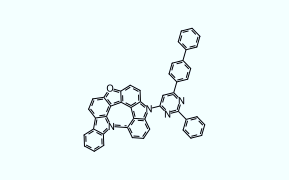 c1ccc(-c2ccc(-c3cc(-n4c5ccc6oc7ccc8c9ccccc9n9c%10cccc4c%10c5c6c7c89)nc(-c4ccccc4)n3)cc2)cc1